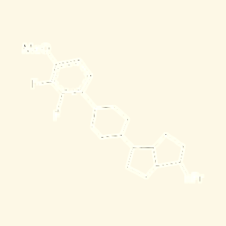 CCCC1CCC2C(C3CCC(c4ccc(OC)c(F)c4F)CC3)CCC12